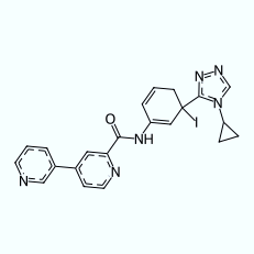 O=C(NC1=CC(I)(c2nncn2C2CC2)CC=C1)c1cc(-c2cccnc2)ccn1